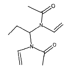 C=CN(C(C)=O)C(CC)N(C=C)C(C)=O